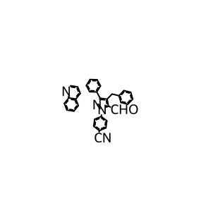 N#Cc1ccc(-n2nc(-c3ccccc3)c(Cc3ccccc3)c2C=O)cc1.c1ccc2ncccc2c1